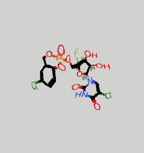 O=c1[nH]c(=O)n([C@@H]2O[C@](F)(COP3(=O)OCc4cc(Cl)ccc4O3)[C@@H](O)[C@H]2O)cc1Cl